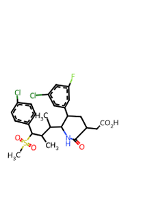 CC(C(C)C(c1ccc(Cl)cc1)S(C)(=O)=O)C1NC(=O)C(CC(=O)O)CC1c1cc(F)cc(Cl)c1